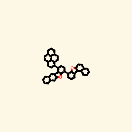 c1ccc2cc3c(cc2c1)oc1c(-c2cccc4c2oc2ccc5ccccc5c24)ccc(-c2ccc4ccc5cccc6ccc2c4c56)c13